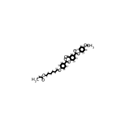 C=CC(=O)OCCCCCCOc1ccc(C(=O)Oc2ccc(C(=O)Oc3ccc(OC)cc3)cc2Cl)cc1